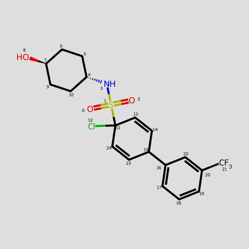 O=S(=O)(N[C@H]1CC[C@H](O)CC1)C1(Cl)C=CC(c2cccc(C(F)(F)F)c2)C=C1